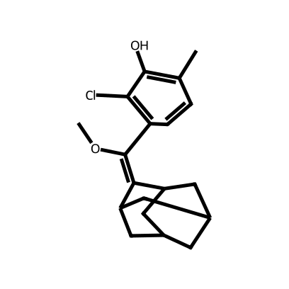 COC(=C1C2CC3CC(C2)CC1C3)c1ccc(C)c(O)c1Cl